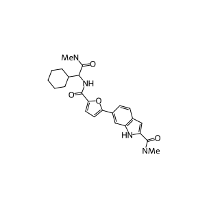 CNC(=O)c1cc2ccc(-c3ccc(C(=O)NC(C(=O)NC)C4CCCCC4)o3)cc2[nH]1